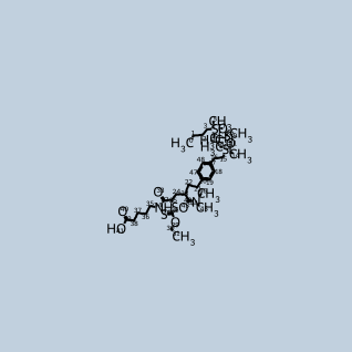 CCCC[Si](C)(C)O[Si](C)(C)O[Si](C)(C)CCc1ccc(CCC(CC(SC(=S)OCC)C(=O)NCCCCC(=O)O)C(=O)N(C)C)cc1